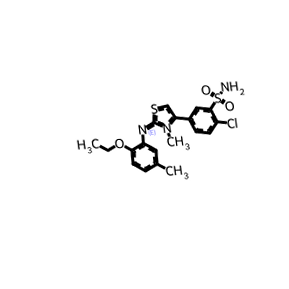 CCOc1ccc(C)cc1/N=c1/scc(-c2ccc(Cl)c(S(N)(=O)=O)c2)n1C